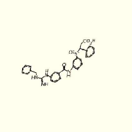 N=C(NCc1ccccc1)Nc1cccc(C(=O)Nc2cccc([S+]([O-])C(CC(=O)O)c3ccccc3)c2)c1